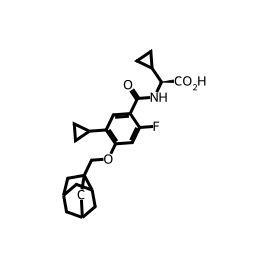 O=C(N[C@H](C(=O)O)C1CC1)c1cc(C2CC2)c(OCC23CC4CC(CC2C4)C3)cc1F